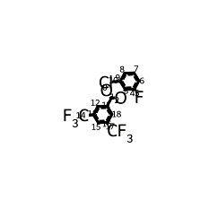 O=C(Oc1c(F)cccc1Cl)c1cc(C(F)(F)F)cc(C(F)(F)F)c1